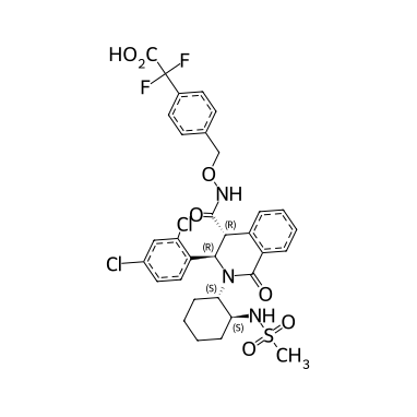 CS(=O)(=O)N[C@H]1CCCC[C@@H]1N1C(=O)c2ccccc2[C@@H](C(=O)NOCc2ccc(C(F)(F)C(=O)O)cc2)[C@@H]1c1ccc(Cl)cc1Cl